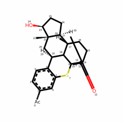 CC(=O)c1ccc2c(c1)S[C@]13CCC(=O)C=C1CC[C@@H]1C3[C@@H]2C[C@]2(C)[C@@H](O)CC[C@@H]12